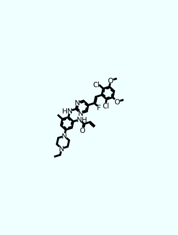 C=CC(=O)Nc1cc(N2CCN(CC)CC2)cc(C)c1Nc1ncc(/C(F)=C/c2c(Cl)c(OC)cc(OC)c2Cl)cn1